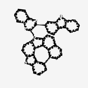 c1cc2c3c(c1)ccc1c3c3c4c(ccc3n1-c1nc3ccccc3nc1-c1ccc3c(c1)oc1ccccc13)sc1cccc-2c14